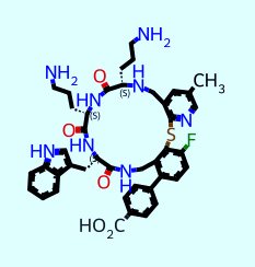 Cc1cnc2c(c1)CN[C@@H](CCCN)C(=O)N[C@@H](CCCN)C(=O)N[C@@H](Cc1c[nH]c3ccccc13)C(=O)NCc1c(-c3ccc(C(=O)O)cc3)ccc(F)c1S2